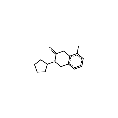 Cc1cccc2c1CC(=O)N(C1CCCC1)C2